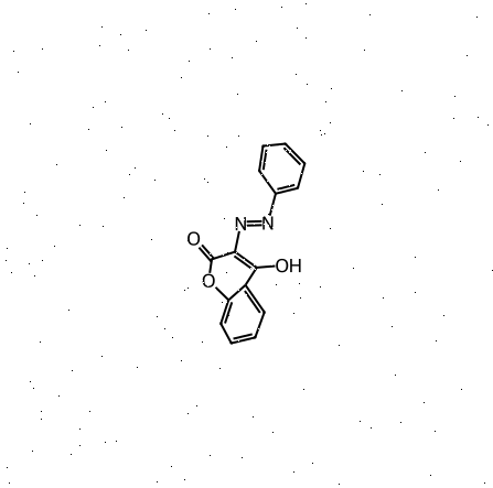 O=c1oc2ccccc2c(O)c1N=Nc1ccccc1